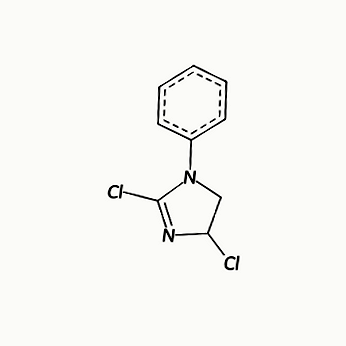 ClC1=NC(Cl)CN1c1ccccc1